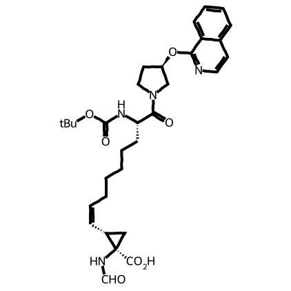 CC(C)(C)OC(=O)N[C@@H](CCCCC/C=C\[C@@H]1C[C@]1(NC=O)C(=O)O)C(=O)N1CC[C@@H](Oc2nccc3ccccc23)C1